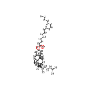 CCCCC/C=C\C/C=C\CCCCCCC(=O)O[C@H]1CC[C@@]2(C)C(=CC[C@H]3[C@@H]4CC[C@H](C(C)CCCC(C)C)[C@@]4(C)CC[C@@H]32)C1